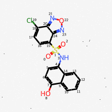 O=S(=O)(Nc1ccc(O)c2ccccc12)c1ccc(Cl)c2nonc12